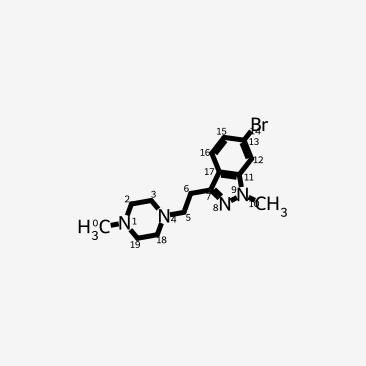 CN1CCN(CCc2nn(C)c3cc(Br)ccc23)CC1